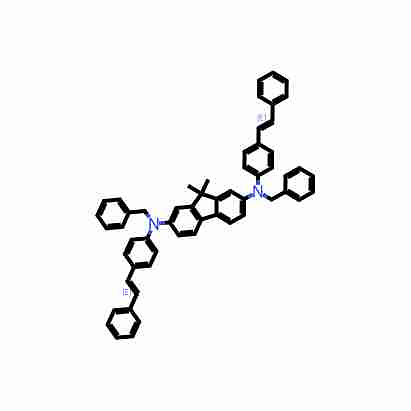 CC1(C)c2cc(N(Cc3ccccc3)c3ccc(/C=C/c4ccccc4)cc3)ccc2-c2ccc(N(Cc3ccccc3)c3ccc(/C=C/c4ccccc4)cc3)cc21